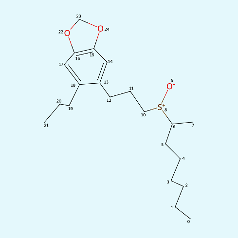 CCCCCCC(C)[S+]([O-])CCCc1cc2c(cc1CCC)OCO2